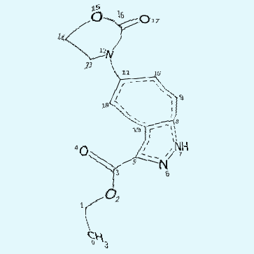 CCOC(=O)c1n[nH]c2ccc(N3CCOC3=O)cc12